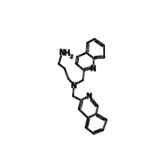 NCCCN(Cc1cc2ccccc2cn1)Cc1ccc2ccccc2n1